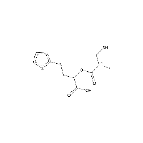 C[C@@H](CS)C(=O)OC(CSc1cccs1)C(=O)O